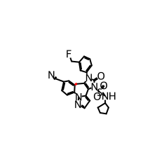 Cc1c(-c2ccnn2-c2ccc(C#N)cc2)n(S(=O)(=O)NC2CCCC2)c(=O)n1-c1cccc(CF)c1